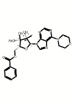 CC(=O)O[C@@]1(C)[C@@H](COC(=O)c2ccccc2)O[C@H](n2cnc3c(N4CCOCC4)ncnc32)[C@]1(C)F